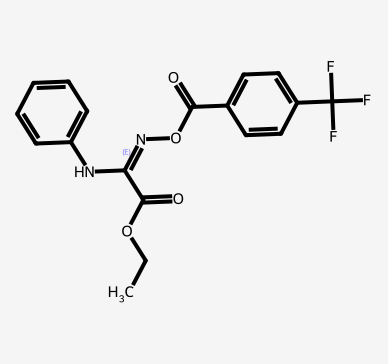 CCOC(=O)/C(=N\OC(=O)c1ccc(C(F)(F)F)cc1)Nc1ccccc1